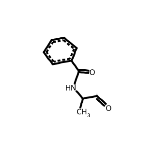 CC([C]=O)NC(=O)c1ccccc1